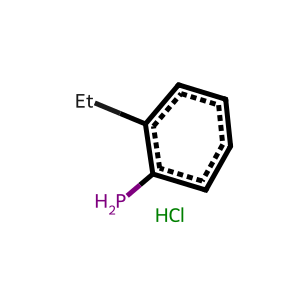 CCc1ccccc1P.Cl